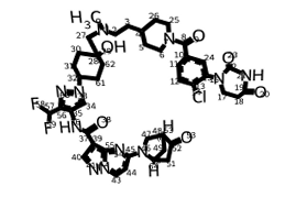 CN(CCC1CCN(C(=O)c2ccc(Cl)c(N3CCC(=O)NC3=O)c2)CC1)CC1(O)CCC(n2cc(NC(=O)c3cnn4ccc(N5C[C@H]6C[C@@H]5CC6=O)nc34)c(C(F)F)n2)CC1